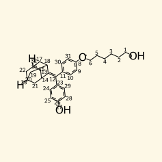 OCCCCCCOc1ccc(C(=C2C3C[C@H]4CC2C[C@H](C3)C4)c2ccc(O)cc2)cc1